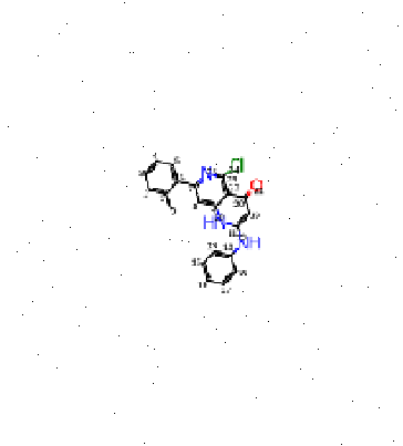 Cc1ccccc1-c1cc2[nH]c(Nc3ccccc3)cc(=O)c2c(Cl)n1